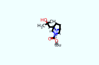 CC(C)(O)CC12CCC(CN(C(=O)OC(C)(C)C)C1)N2